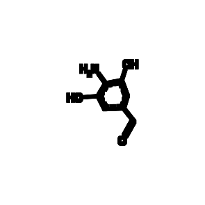 Nc1c(O)cc(C=O)cc1O